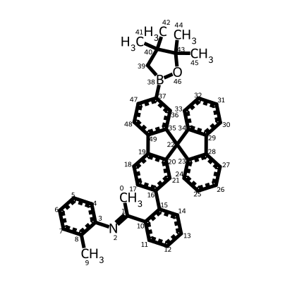 C/C(=N\c1ccccc1C)c1ccccc1-c1ccc2c(c1)C1(c3ccccc3-c3ccccc31)c1cc(B3CC(C)(C)C(C)(C)O3)ccc1-2